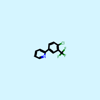 FC(F)(F)c1cc(-c2cc[c]cn2)ccc1Cl